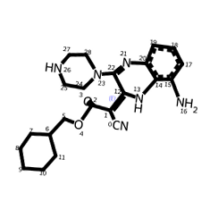 N#C/C(C(=O)OCC1CCCCC1)=C1\Nc2c(N)cccc2N=C1N1CCNCC1